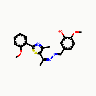 COc1ccc(C=NN=C(C)c2sc(-c3ccccc3OC)nc2C)cc1O